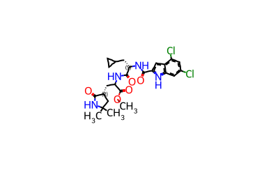 COC(=O)C(C[C@@H]1CC(C)(C)NC1=O)NC(=O)[C@H](CC1CC1)NC(=O)c1cc2c(Cl)cc(Cl)cc2[nH]1